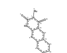 CCC(C)n1c(=O)[nH]c2nc3ccccc3cc2c1=O